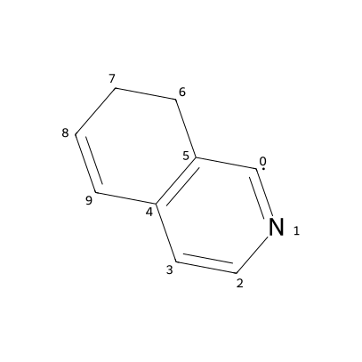 [c]1nccc2c1CCC=C2